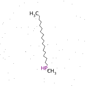 CCCCCCCCCCCCCCCCCCPC